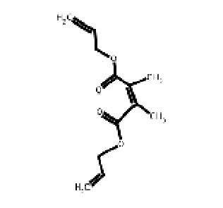 C=CCOC(=O)/C(C)=C(/C)C(=O)OCC=C